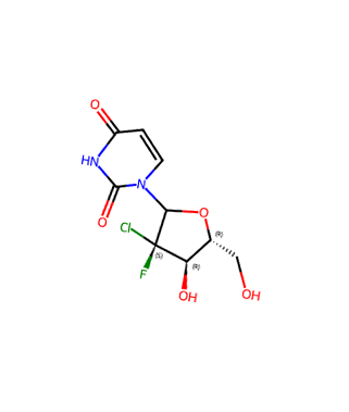 O=c1ccn(C2O[C@H](CO)[C@@H](O)[C@]2(F)Cl)c(=O)[nH]1